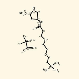 C[N+](C)(C)CCOCCOCCC(=O)N[C@@H]1CN[C@@H](C(=O)O)C1.O=C([O-])C(F)(F)F